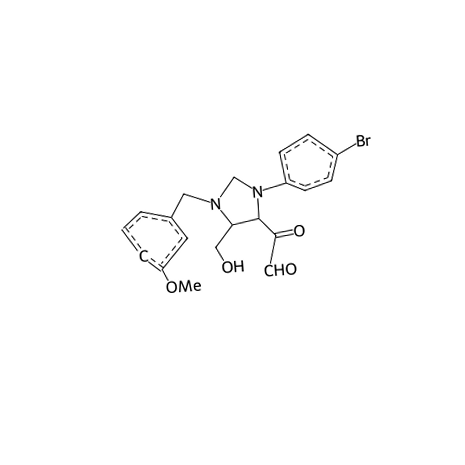 COc1cccc(CN2CN(c3ccc(Br)cc3)C(C(=O)C=O)C2CO)c1